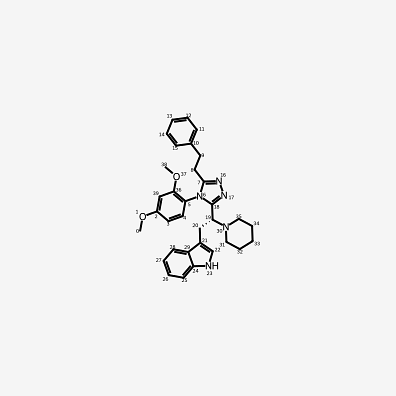 COc1ccc(-n2c(CCc3ccccc3)nnc2[C@@H](Cc2c[nH]c3ccccc23)N2CCCCC2)c(OC)c1